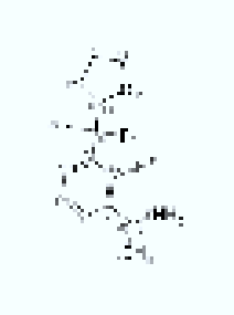 C[C@@H](N)c1cccc(C(F)(F)[C@H]2CCCO2)c1F